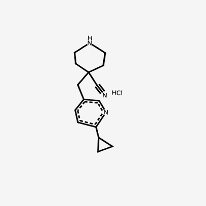 Cl.N#CC1(Cc2ccc(C3CC3)nc2)CCNCC1